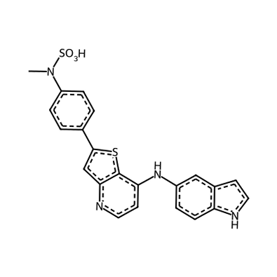 CN(c1ccc(-c2cc3nccc(Nc4ccc5[nH]ccc5c4)c3s2)cc1)S(=O)(=O)O